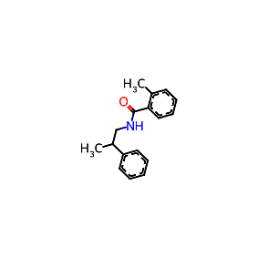 Cc1ccccc1C(=O)NCC(C)c1ccccc1